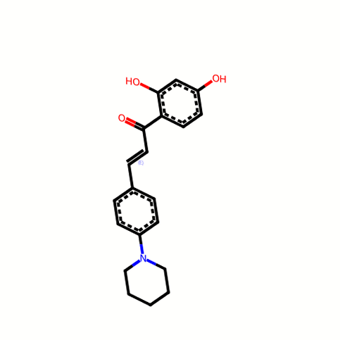 O=C(/C=C/c1ccc(N2CCCCC2)cc1)c1ccc(O)cc1O